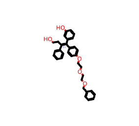 OCC/C(=C(/c1ccc(OCCOCCOCc2ccccc2)cc1)c1cccc(O)c1)c1ccccc1